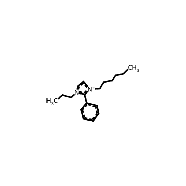 CCCCCC[n+]1ccn(CCC)c1-c1ccccc1